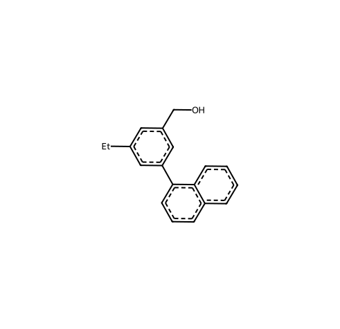 CCc1cc(CO)cc(-c2cccc3ccccc23)c1